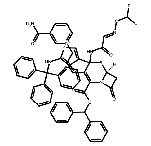 NC(=O)c1ccc[n+](C/C=C\C2=C(C(=O)OC(c3ccccc3)c3ccccc3)N3C(=O)C[C@@H]3SC2(NC(=O)C=NOC(F)F)c2csc(NC(c3ccccc3)(c3ccccc3)c3ccccc3)n2)c1